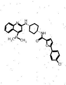 CN(C)c1cc(N[C@H]2CC[C@@H](NC(=O)c3ccc(-c4ccc(Cl)cc4)o3)CC2)nc2ccccc12